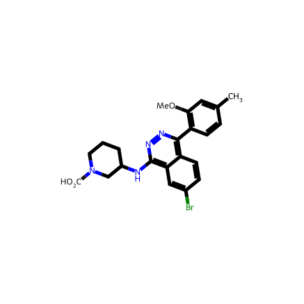 COc1cc(C)ccc1-c1nnc(NC2CCCN(C(=O)O)C2)c2cc(Br)ccc12